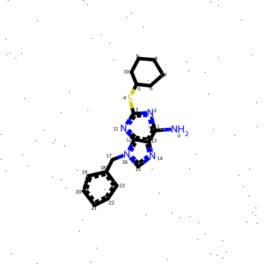 Nc1nc(SC2CCCCC2)nc2c1ncn2Cc1ccccc1